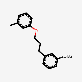 Cc1cccc(OCCCc2cccc(OCC(C)C)c2)c1